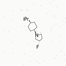 CC(C)[C@H]1CC[C@@H](N2CC[C@H](F)C2)CC1